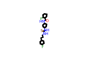 O=C(Nc1ccc(NC(=S)NCCCc2ccc(F)cc2)cc1)c1ccccc1F